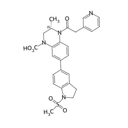 C[C@H]1CN(C(=O)O)c2cc(-c3ccc4c(c3)CCN4S(C)(=O)=O)ccc2N1C(=O)Cc1cccnc1